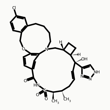 C[C@@H]1[C@@H](C)C/C=C/[C@](O)(c2c[nH]nn2)[C@@H]2CC[C@H]2CN2CCCCc3cc(Cl)ccc3COc3ccc(cc32)C(=O)NS1(=O)=O